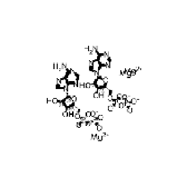 Nc1ncnc2c1ncn2[C@@H]1O[C@H](COP(=O)([O-])OP(=O)([O-])[O-])[C@@H](O)[C@H]1O.Nc1ncnc2c1ncn2[C@@H]1O[C@H](COP(=O)([O-])OP(=O)([O-])[O-])[C@@H](O)[C@H]1O.[Mg+2].[Mg+2].[Mg+2]